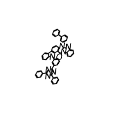 O=c1c2c(ccc3c4ccccc4n(-c4cccc(-c5nc(-c6ccccc6)nc(-c6ccccc6)n5)c4)c32)n(-c2cccc(-c3ccccc3)c2)c2nc3ccccc3n12